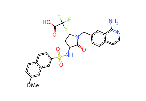 COc1ccc2ccc(S(=O)(=O)N[C@H]3CCN(Cc4ccc5ccnc(N)c5c4)C3=O)cc2c1.O=C(O)C(F)(F)F